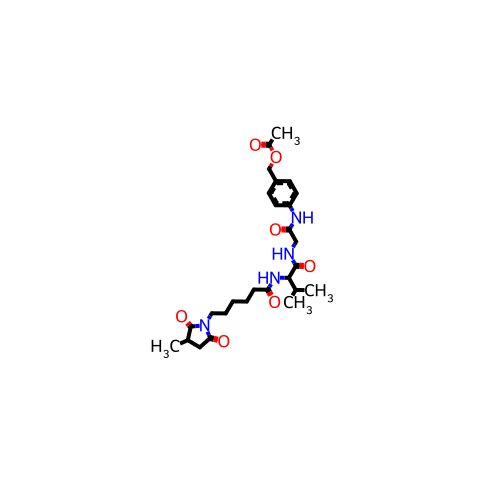 CC(=O)OCc1ccc(NC(=O)CNC(=O)C(NC(=O)CCCCCN2C(=O)CC(C)C2=O)C(C)C)cc1